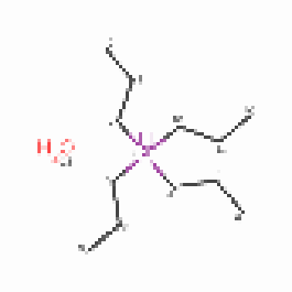 CCC[PH](CCC)(CCC)CCC.O